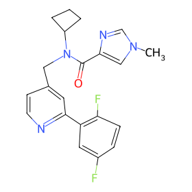 Cn1cnc(C(=O)N(Cc2ccnc(-c3cc(F)ccc3F)c2)C2CCC2)c1